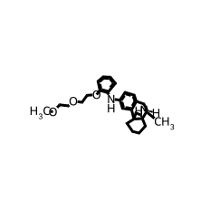 COCCOCCOc1ccccc1Nc1ccc2c(c1)C13CCCC[C@H]1[C@@H](C2)N(C)CC3